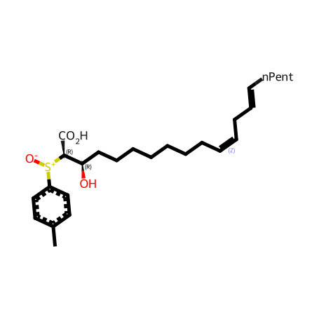 CCCCCC=CC/C=C\CCCCCCC[C@@H](O)[C@H](C(=O)O)[S+]([O-])c1ccc(C)cc1